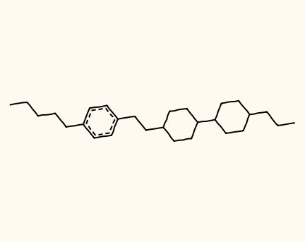 CCCCCc1ccc(CCC2CCC(C3CCC(CCC)CC3)CC2)cc1